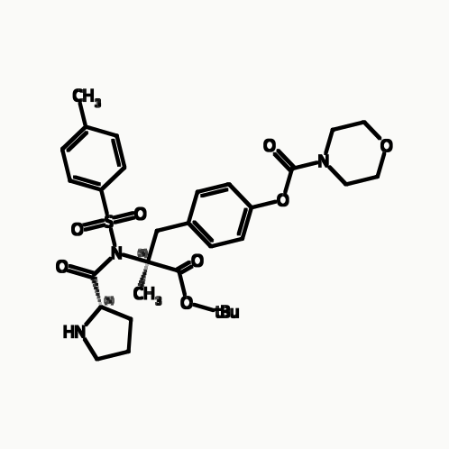 Cc1ccc(S(=O)(=O)N(C(=O)[C@@H]2CCCN2)[C@@](C)(Cc2ccc(OC(=O)N3CCOCC3)cc2)C(=O)OC(C)(C)C)cc1